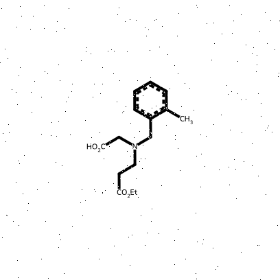 CCOC(=O)CCN(CC(=O)O)Cc1ccccc1C